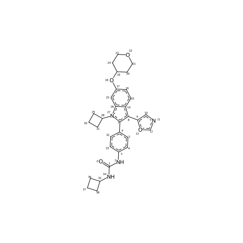 O=C(Nc1ccc(-c2c(-c3cnco3)c3ccc(OC4CCOCC4)cc3n2C2CCC2)cc1)NC1CCC1